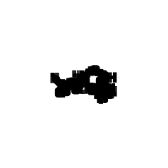 Cc1sc2c(c1C)C(c1ccc(Cl)cc1)=N[C@@H](CC(=O)NC(C)(C)CCOC(C)(C)CCNC(=O)CN1CCOc3cc(N(CCC#N)C(=O)CCl)ccc31)c1nnc(C)n1-2